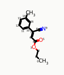 CCCOC(=O)C=C(C#N)c1cccc(C)c1